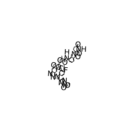 COc1cc2ncnc(N(Cc3cnc([N+](=O)[O-])n3C)c3ccc(F)c(Cl)c3)c2cc1OCCOC(C)C(=O)Nc1cccc2c1CN(C1CCC(=O)NC1=O)C2=O